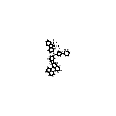 CC1(C)c2ccccc2-c2ccc(N(c3ccc(-c4ccccc4)cc3)c3ccc4oc5c(-c6cccc7ccccc67)c6ccccc6cc5c4c3)cc21